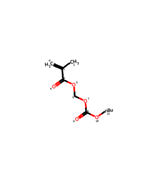 C=C(C)C(=O)OCOC(=O)OCCCC